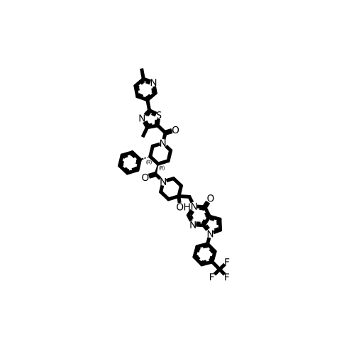 Cc1ccc(-c2nc(C)c(C(=O)N3CC[C@@H](C(=O)N4CCC(O)(Cn5cnc6c(ccn6-c6cccc(C(F)(F)F)c6)c5=O)CC4)[C@H](c4ccccc4)C3)s2)cn1